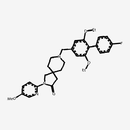 CCOc1cc(CN2CCC3(CC2)CC(=O)N(c2ccc(OC)cn2)C3)cc(OCC)c1-c1ccc(F)cc1